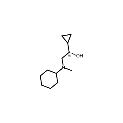 CN(C[C@@H](O)C1CC1)C1CCCCC1